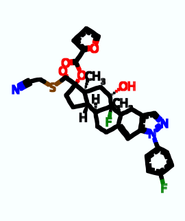 C[C@]12Cc3cnn(-c4ccc(F)cc4)c3C=C1CC[C@H]1[C@@H]3CC[C@](OC(=O)c4ccco4)(C(=O)SCC#N)[C@@]3(C)C[C@H](O)[C@@]12F